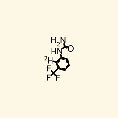 [2H]c1c(NC(N)=O)cccc1C(F)(F)F